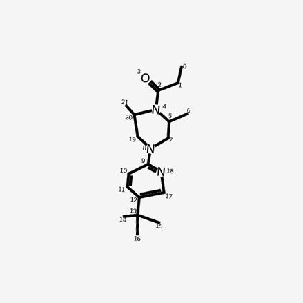 CCC(=O)N1C(C)CN(c2ccc(C(C)(C)C)cn2)CC1C